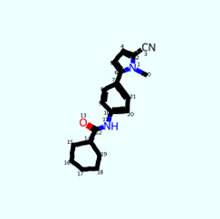 Cn1c(C#N)ccc1-c1ccc(NC(=O)C2CCCCC2)cc1